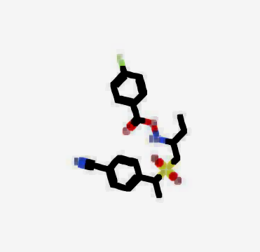 CCC(CS(=O)(=O)C(C)c1ccc(C#N)cc1)NOC(=O)c1ccc(F)cc1